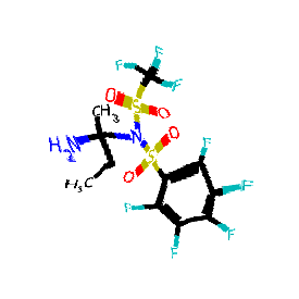 CCC(C)(N)N(S(=O)(=O)c1c(F)c(F)c(F)c(F)c1F)S(=O)(=O)C(F)(F)F